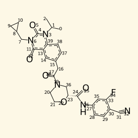 CC(C)n1c(=O)n(CC2CC2)c(=O)c2cc(CC(=O)N3CCO[C@@H](C(=O)Nc4ccc(C#N)c(F)c4)C3)ccc21